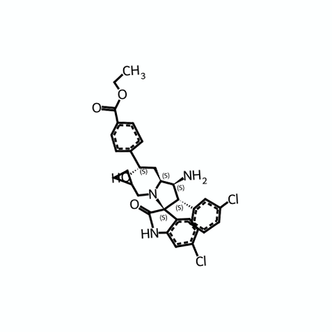 CCOC(=O)c1ccc([C@@H](O)C[C@H]2[C@@H](N)[C@H](c3cccc(Cl)c3)[C@]3(C(=O)Nc4cc(Cl)ccc43)N2CC2CC2)cc1